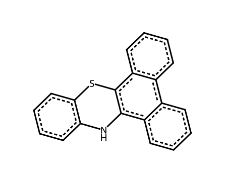 c1ccc2c(c1)Nc1c(c3ccccc3c3ccccc13)S2